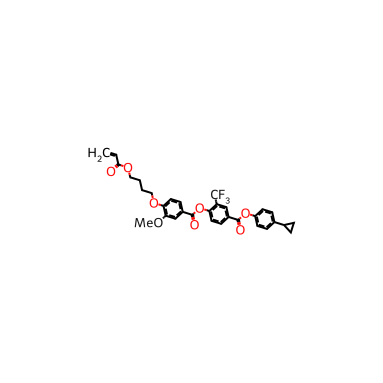 C=CC(=O)OCCCCOc1ccc(C(=O)Oc2ccc(C(=O)Oc3ccc(C4CC4)cc3)cc2C(F)(F)F)cc1OC